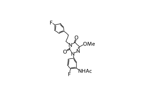 COc1nn(-c2ccc(F)c(NC(C)=O)c2)c(=O)n(CCc2ccc(F)cc2)c1=O